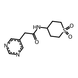 O=C(Cc1cncnc1)NC1CCS(=O)(=O)CC1